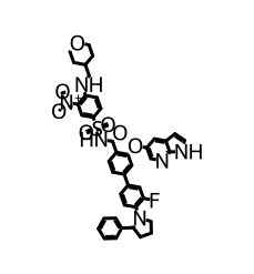 O=C(NS(=O)(=O)c1ccc(NCC2CCOCC2)c([N+](=O)[O-])c1)c1ccc(-c2ccc(N3CCCC3c3ccccc3)c(F)c2)cc1Oc1cnc2[nH]ccc2c1